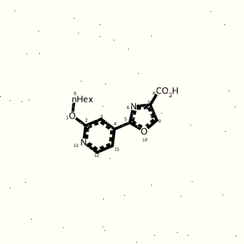 CCCCCCOc1cc(-c2nc(C(=O)O)co2)ccn1